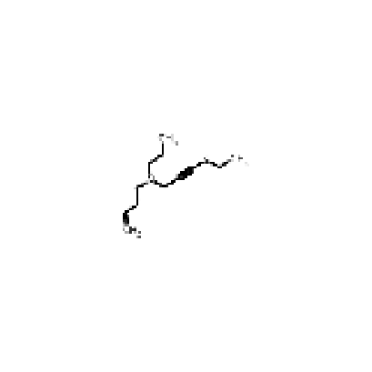 C=CCCN(CC#CSCC)CCC